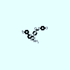 COc1cccc(-c2ccc3nc(N)nc(N4CCN(C(=O)COc5ccc(Cl)cc5)CC4)c3n2)c1